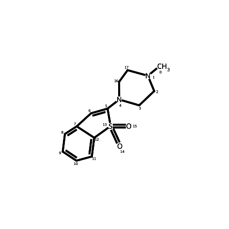 CN1CCN(C2=Cc3ccccc3S2(=O)=O)CC1